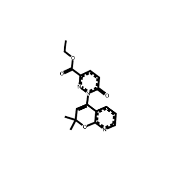 CCOC(=O)c1ccc(=O)n(C2=CC(C)(C)Oc3ncccc32)n1